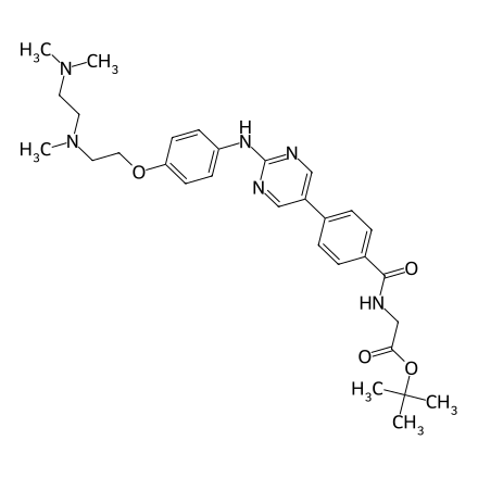 CN(C)CCN(C)CCOc1ccc(Nc2ncc(-c3ccc(C(=O)NCC(=O)OC(C)(C)C)cc3)cn2)cc1